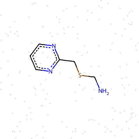 NCSCc1ncccn1